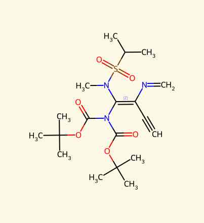 C#C/C(N=C)=C(\N(C(=O)OC(C)(C)C)C(=O)OC(C)(C)C)N(C)S(=O)(=O)C(C)C